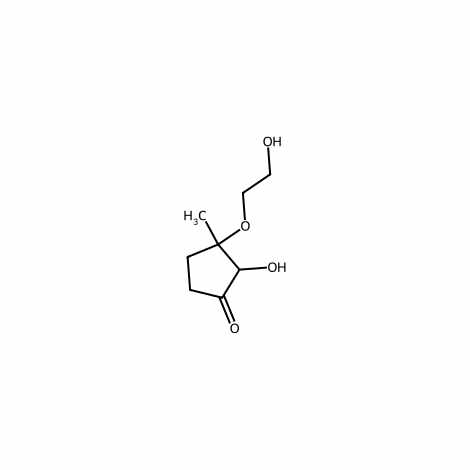 CC1(OCCO)CCC(=O)C1O